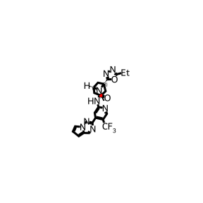 CCc1nnc([C@@]23C[C@@H](C)C[C@@H](C2)N3C(=O)Nc2cc(-c3ncc4cccn4n3)c(C(F)(F)F)cn2)o1